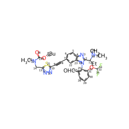 CCC(c1nc2ccc(C#Cc3nnc(CN(C)C(=O)OC(C)(C)C)s3)cc2n1-c1c(C=O)cccc1OC(F)F)N(C)C